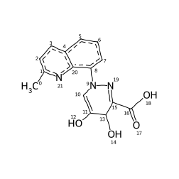 Cc1ccc2cccc(N3C=C(O)C(O)C(C(=O)O)=N3)c2n1